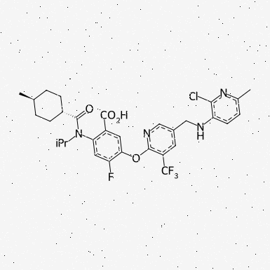 Cc1ccc(NCc2cnc(Oc3cc(C(=O)O)c(N(C(=O)[C@H]4CC[C@H](C)CC4)C(C)C)cc3F)c(C(F)(F)F)c2)c(Cl)n1